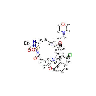 CCC(=O)NS1(=O)=NC(=O)c2ccc3c(c2)N(C[C@@H]2CC[C@H]2[C@@H](OCCN2CCOCC2)/C=C/CCC1)C[C@@]1(CCCc2cc(Cl)ccc21)CO3